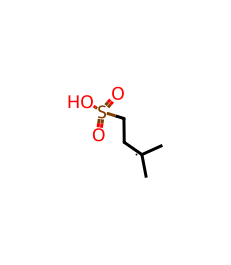 C[C](C)CCS(=O)(=O)O